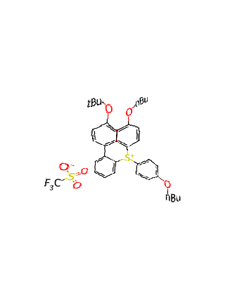 CCCCOc1ccc([S+](c2ccc(OCCCC)cc2)c2ccccc2-c2ccc(OC(C)(C)C)cc2)cc1.O=S(=O)([O-])C(F)(F)F